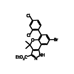 CCOC(=O)c1n[nH]c2c1C(C)(C)Oc1c(-c3ccc(Cl)cc3Cl)cc(Br)cc1-2